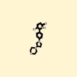 CCc1ccc(=O)[nH]c1-c1ccc(N2CCC(N3CCOCC3)C2)cc1